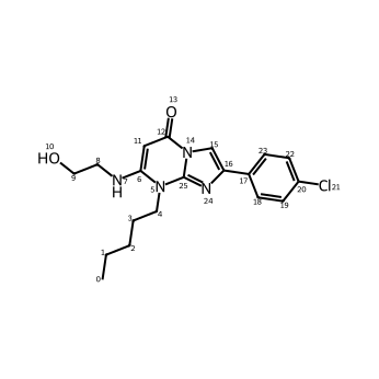 CCCCCn1c(NCCO)cc(=O)n2cc(-c3ccc(Cl)cc3)nc12